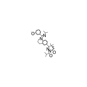 COc1cccc(C(=NC(C)C)N2CCCc3cc(C4=NN(C(=O)C(C)C)C(=O)SC4(C)C)ccc32)c1